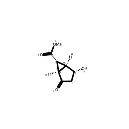 COC(=O)[C@H]1[C@@H]2C(=O)C[C@@H](O)[C@@H]21